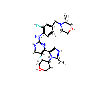 Cc1ncc(-c2nc(Nc3ccc(CN4[C@@H](C)COC[C@@H]4C)cc3F)ncc2F)n1C1CCOCC1